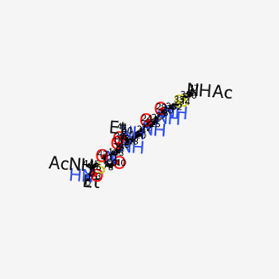 CCNC(=O)C(CSC1CC(=O)N(CCC(=O)NC(CCCCNC(=O)CCNC(=O)NCCSSCCNC(C)=O)C(=O)NCC)C1=O)NC(C)=O